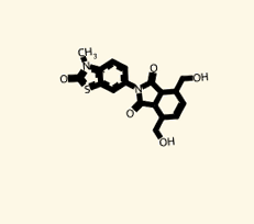 Cn1c(=O)sc2cc(N3C(=O)C4C(CO)C=CC(CO)C4C3=O)ccc21